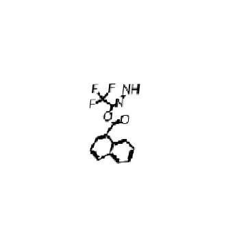 N=NC(OC(=O)c1cccc2ccccc12)C(F)(F)F